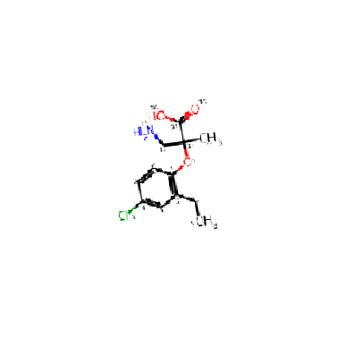 CCc1cc(Cl)ccc1OC(C)(CN)C(=O)O